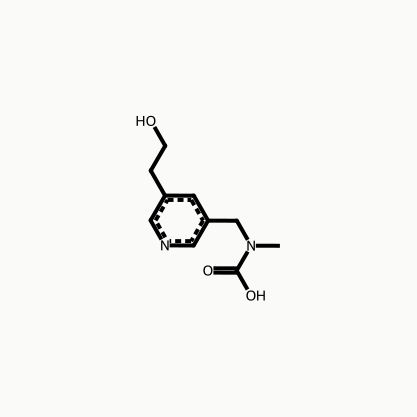 CN(Cc1cncc(CCO)c1)C(=O)O